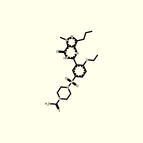 CCCc1nn(C)c2c(=O)[nH]c(-c3cc(S(=O)(=O)N4CCN(C(N)=S)CC4)ccc3OCC)nc12